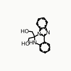 OCC1(CO)Nc2ccccc2-c2nc3ccccc3n21